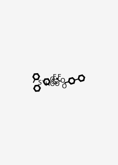 Cc1ccccc1[S+](c1ccccc1)c1ccccc1.O=C(OCC(F)(F)S(=O)(=O)O)c1ccc(-c2ccccc2)cc1